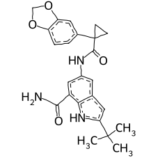 CC(C)(C)c1cc2cc(NC(=O)C3(c4ccc5c(c4)OCO5)CC3)cc(C(N)=O)c2[nH]1